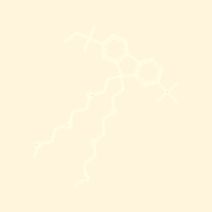 CCC(C)(C)c1ccc2c(c1)C(CCOCCOCCOC)(CCOCCOCCOC)c1cc(C(C)(C)C)ccc1-2